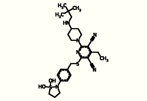 CCc1c(C#N)c(SCc2ccc(N3CCCS3(O)O)cc2)nc(N2CCC(NCC(C)(C)C)CC2)c1C#N